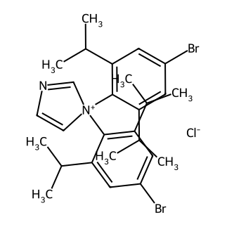 CC(C)c1cc(Br)cc(C(C)C)c1[N+]1(c2c(C(C)C)cc(Br)cc2C(C)C)C=CN=C1.[Cl-]